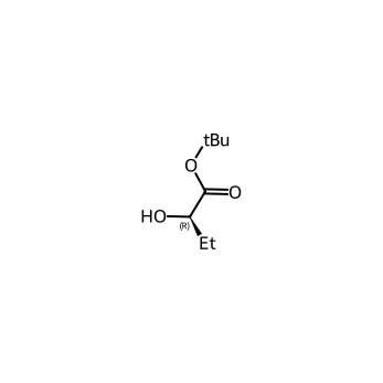 CC[C@@H](O)C(=O)OC(C)(C)C